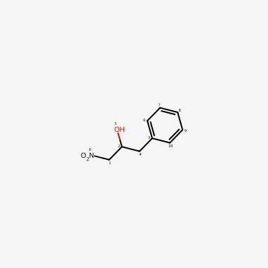 O=[N+]([O-])CC(O)Cc1ccccc1